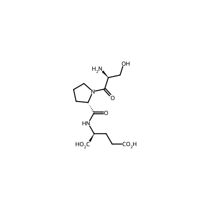 N[C@@H](CO)C(=O)N1CCC[C@H]1C(=O)N[C@@H](CCC(=O)O)C(=O)O